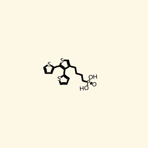 O=P(O)(O)CCCCc1csc(-c2cccs2)c1-c1cccs1